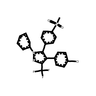 CS(=O)(=O)c1ccc(-c2c(-c3ccc(Cl)cc3)c(C(F)(F)F)nn2-c2ccccc2)cc1